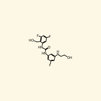 O=C(Nc1cc(F)cc(NCCO)c1)Nc1cc(F)cc(F)c1CO